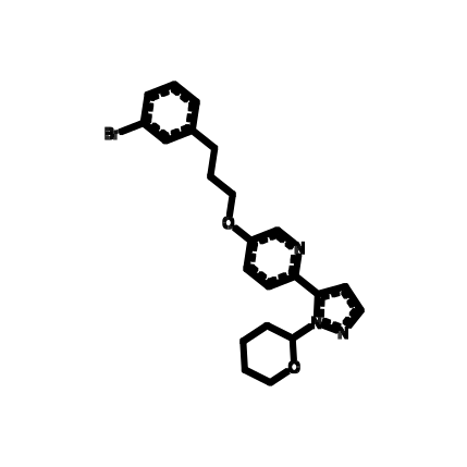 Brc1cccc(CCCOc2ccc(-c3ccnn3C3CCCCO3)nc2)c1